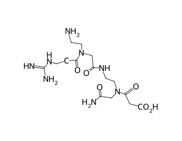 N=C(N)NCCC(=O)N(CCN)CC(=O)NCCN(CC(N)=O)C(=O)CC(=O)O